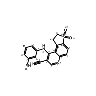 N#Cc1cnc2ccc3c(c2c1Nc1cccc(S)c1)CCS3(=O)=O